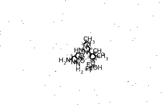 Cc1cn2c(NCCc3cc(N)nc(N)c3[N+](=O)[O-])nc(-c3cccc(C)c3C)cc2n1.O=C(O)C(F)(F)F